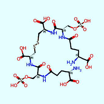 N[C@@H](CCC(=O)N[C@@H](COS(=O)(=O)O)C(=O)N[C@@H](CSSC[C@H](NC(=O)[C@H](COS(=O)(=O)O)NC(=O)CC[C@H](N)C(=O)O)C(=O)O)C(=O)O)C(=O)O